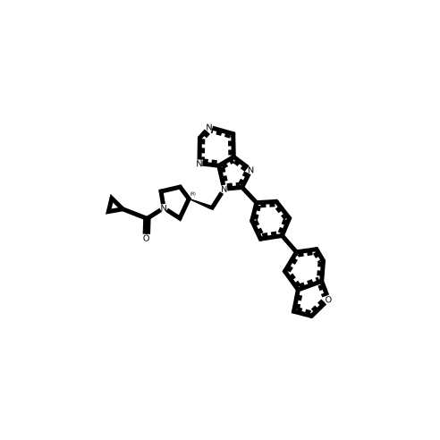 O=C(C1CC1)N1CC[C@@H](Cn2c(-c3ccc(-c4ccc5occc5c4)cc3)nc3cncnc32)C1